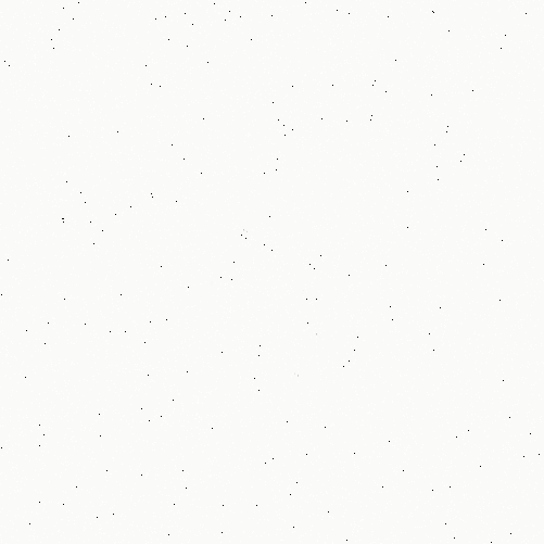 Cc1nccn1CC1CCc2c(c3cccc4c3n2CCC4)C1=O.Cl